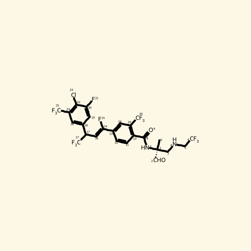 C[C@@](C=O)(CNCC(F)(F)F)NC(=O)c1ccc(/C(F)=C/C(c2cc(F)c(Cl)c(C(F)(F)F)c2)C(F)(F)F)cc1C(F)(F)F